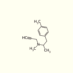 C#CCN(C)C(C)Cc1ccc(C)cc1